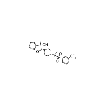 CC(O)(C(=O)N1CCC(C(C)(C)S(=O)(=O)c2cccc(C(F)(F)F)c2)CC1)c1ccccc1